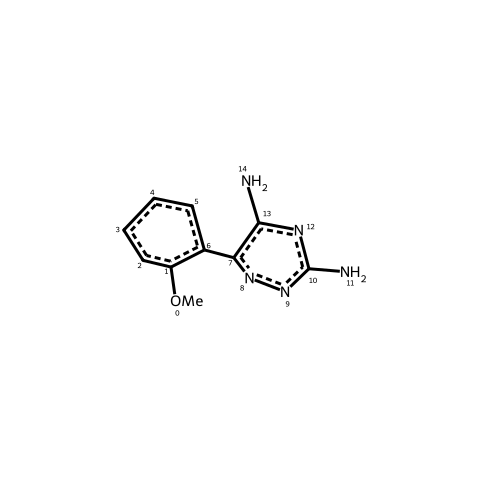 COc1ccccc1-c1nnc(N)nc1N